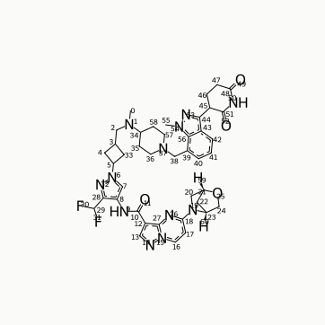 CN(CC1CC(n2cc(NC(=O)c3cnn4ccc(N5C[C@H]6C[C@@H]5CO6)nc34)c(C(F)F)n2)C1)C1CCN(Cc2cccc3c(C4CCC(=O)NC4=O)nn(C)c23)CC1